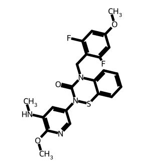 CNc1cc(N2Sc3ccccc3N(Cc3c(F)cc(OC)cc3F)C2=O)cnc1OC